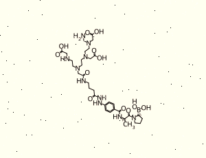 C[C@@H](NC(=O)c1ccc(NNC(=O)CCCNC(=O)CN(CCNCC(=O)O)CCN(CCN(CN)CC(=O)O)CC(=O)O)cc1)C(=O)N1CCC[C@H]1B(O)O